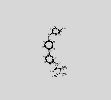 C[C@H](O)[C@H](N)C(=O)Nc1cccc(-c2ccc(Oc3ccc(F)cc3)cc2)n1